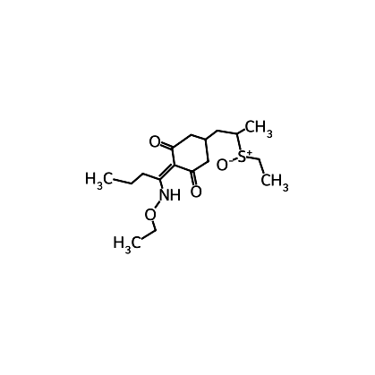 CCCC(NOCC)=C1C(=O)CC(CC(C)[S+]([O-])CC)CC1=O